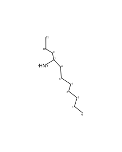 CCCCCCCC([NH])CCC